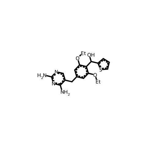 CCOc1cc(Cc2cnc(N)nc2N)cc(OCC)c1C(O)c1cccs1